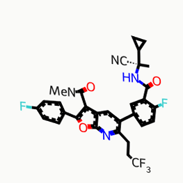 CNC(=O)c1c(-c2ccc(F)cc2)oc2nc(CCC(F)(F)F)c(-c3ccc(F)c(C(=O)N[C@@](C)(C#N)C4CC4)c3)cc12